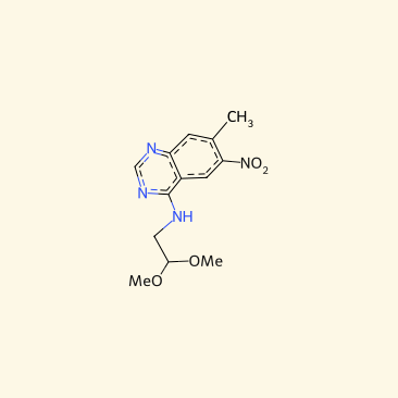 COC(CNc1ncnc2cc(C)c([N+](=O)[O-])cc12)OC